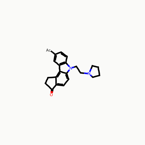 CC(=O)c1ccc2c(c1)c1c3c(ccc1n2CCN1CCCC1)C(=O)CC3